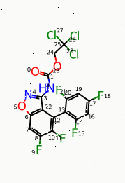 O=C(Nc1noc2cc(F)c(F)c(-c3c(F)cc(F)cc3F)c12)OCC(Cl)(Cl)Cl